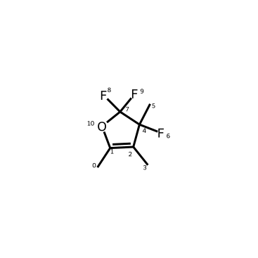 CC1=C(C)C(C)(F)C(F)(F)O1